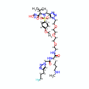 CNCCCC[C@H](NC(=O)Cn1cc(CCC[18F])nn1)C(=O)NCCOCCOCCOCCn1cc(CN([C@@H](C(=O)NO)C(C)C)S(=O)(=O)c2ccc(OC)cc2)nn1